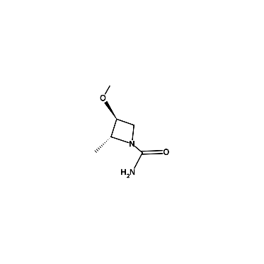 CO[C@H]1CN(C(N)=O)[C@@H]1C